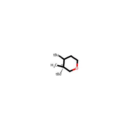 CC(C)(C)C1CCOC[C@]1(C)C(C)(C)C